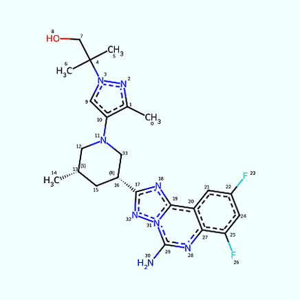 Cc1nn(C(C)(C)CO)cc1N1C[C@@H](C)C[C@@H](c2nc3c4cc(F)cc(F)c4nc(N)n3n2)C1